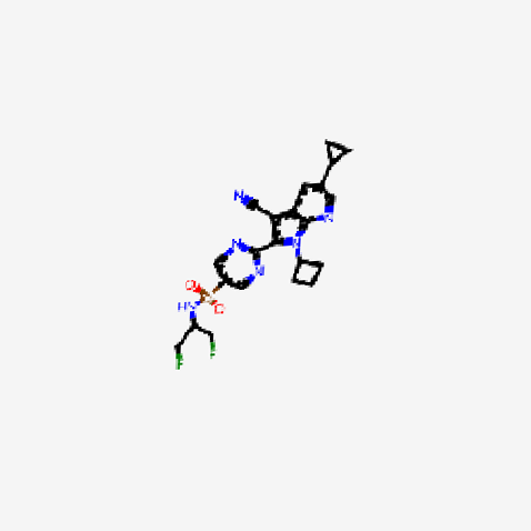 N#Cc1c(-c2ncc(S(=O)(=O)NC(CF)CF)cn2)n(C2CCC2)c2ncc(C3CC3)cc12